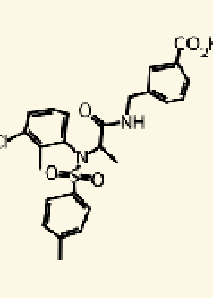 Cc1ccc(S(=O)(=O)N(c2cccc(Cl)c2C)C(C)C(=O)NCc2cccc(C(=O)O)c2)cc1